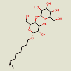 C=CCCCCCCO[C@@H]1OC(CO)[C@@H](O[C@@H]2OC(CO)[C@H](O)C(O)[C@@H]2O)C(O)[C@@H]1O